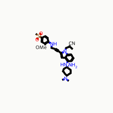 COc1cc(S(C)(=O)=O)ccc1NCC#Cc1cc2c(N[C@]3(N)CC[C@@H](N(C)C)CC3)cccc2n1CC(C)C#N